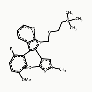 COc1ccc(F)c(-c2c(-c3cn(C)nc3OC)n(COCC[Si](C)(C)C)c3ncccc23)c1